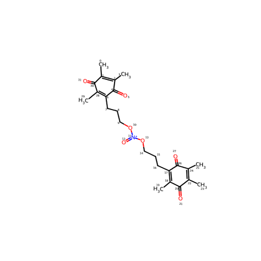 CC1=C(C)C(=O)C(CCCO[N+](=O)OCCCC2=C(C)C(=O)C(C)=C(C)C2=O)=C(C)C1=O